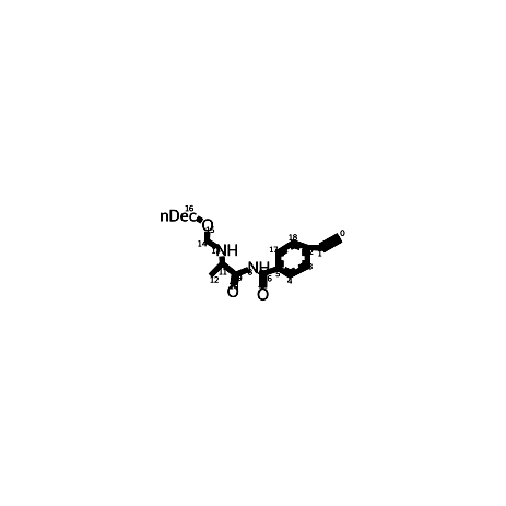 C#Cc1ccc(C(=O)NC(=O)C(C)NCOCCCCCCCCCC)cc1